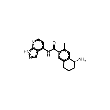 Cc1cc2c(cc1C(=O)Nc1ccnc3[nH]ncc13)CCC[C@H]2N